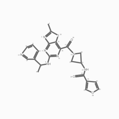 Cc1nc2nc(NC(C)c3cccnc3)nc(C(=O)N3CC(NC(=O)c4ccoc4)C3)c2s1